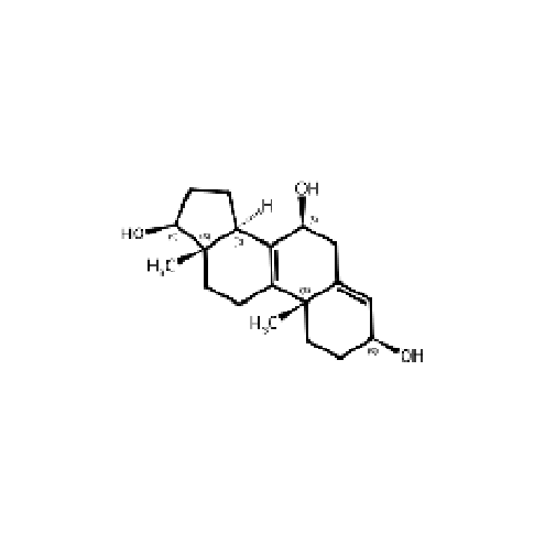 C[C@]12CC[C@H](O)C=C1C[C@H](O)C1=C2CC[C@]2(C)[C@@H](O)CC[C@@H]12